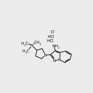 C[N+](C)(C)C1CCN(c2nn3ccccc3c2N)C1.Cl.Cl.[Cl-]